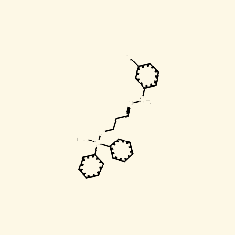 CC(C)(C)[Si](OCCC=NNc1cccc(Cl)c1)(c1ccccc1)c1ccccc1